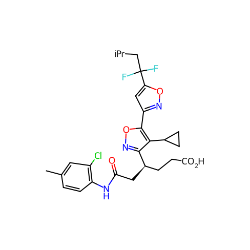 Cc1ccc(NC(=O)C[C@H](CCC(=O)O)c2noc(-c3cc(C(F)(F)CC(C)C)on3)c2C2CC2)c(Cl)c1